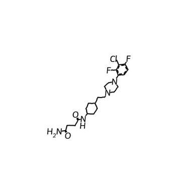 NC(=O)CCC(=O)NC1CCC(CCN2CCN(c3ccc(F)c(Cl)c3F)CC2)CC1